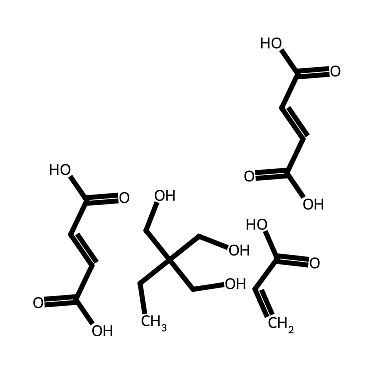 C=CC(=O)O.CCC(CO)(CO)CO.O=C(O)C=CC(=O)O.O=C(O)C=CC(=O)O